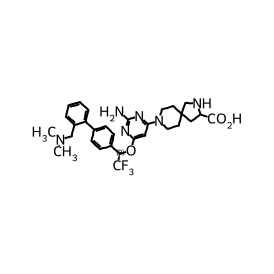 CN(C)Cc1ccccc1-c1ccc([C@@H](Oc2cc(N3CCC4(CC3)CNC(C(=O)O)C4)nc(N)n2)C(F)(F)F)cc1